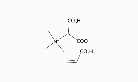 C=CC(=O)O.C[N+](C)(C)C(C(=O)[O-])C(=O)O